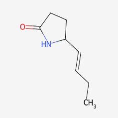 CCC=CC1CCC(=O)N1